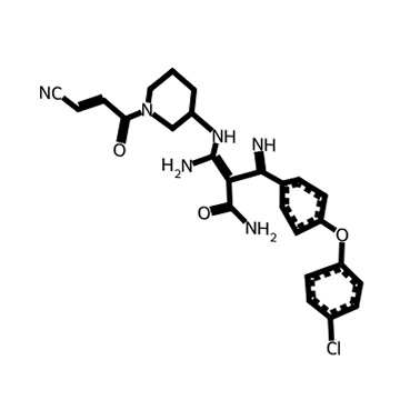 N#C/C=C/C(=O)N1CCCC(N/C(N)=C(\C(=N)c2ccc(Oc3ccc(Cl)cc3)cc2)C(N)=O)C1